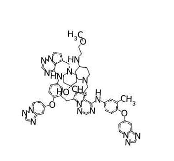 COCCNC1CCN(Cc2cc(Cc3cc(Nc4ncnn5ccc(CN6CCC(C)(O)CC6)c45)ccc3Oc3ccn4ncnc4c3)n3ncnc(Nc4ccc(Oc5ccn6ncnc6c5)c(C)c4)c23)CC1